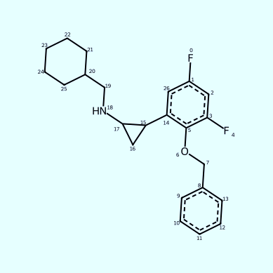 Fc1cc(F)c(OCc2ccccc2)c(C2CC2NCC2CCCCC2)c1